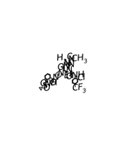 CCc1c(N2CCN(C(=O)c3ccccc3NS(=O)(=O)C3CC3)CC2)c(=O)n2nc(N(C)C)nc2n1CC(=O)Nc1ccc(C(F)(F)F)cc1Cl